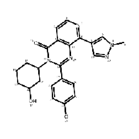 Cn1cc(-c2nccc3c(=O)n(C4CCCC(O)C4)c(-c4ccc(Cl)cc4)nc23)cn1